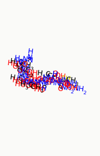 CC(C)C[C@H](NC(=O)[C@H](Cc1ccc(O)cc1)NC(=O)[C@H](CO)NC(=O)[C@H](CO)NC(=O)[C@@H](NC(=O)[C@H](CC(=O)O)NC(=O)[C@H](CO)NC(=O)[C@@H](NC(=O)[C@H](Cc1ccccc1)NC(=O)[C@@H](NC(=O)CNC(=O)[C@H](CCC(=O)O)NC(=O)C(C)(C)NC(=O)[C@@H](N)Cc1c[nH]cn1)[C@@H](C)O)[C@@H](C)O)C(C)C)C(=O)N[C@@H](CCC(=O)O)C(=O)NCC(=O)N[C@@H](CCC(N)=O)C(=O)N[C@@H](CS)C(=O)N[C@@H](C)C(=O)N[C@@H](CCCCN)C(=O)O